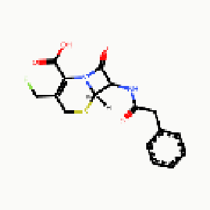 O=C(Cc1ccccc1)NC1C(=O)N2C(C(=O)O)=C(CF)CS[C@@H]12